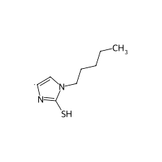 CCCCCn1c[c]nc1S